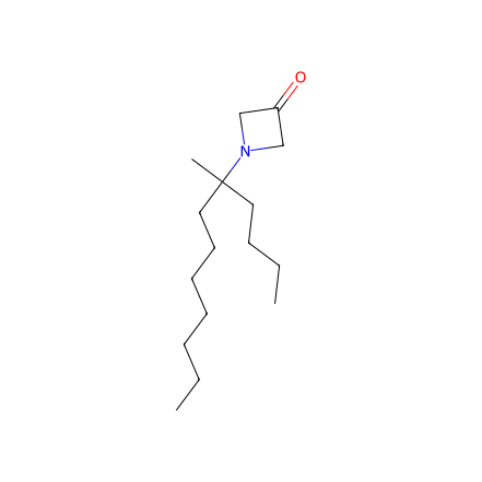 CCCCCCCC(C)(CCCC)N1CC(=O)C1